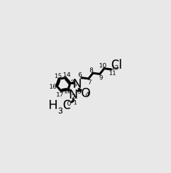 CCn1c(=O)n(CCCCCCCl)c2ccccc21